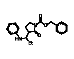 CCC(Nc1ccccc1)C1CCN(C(=O)OCc2ccccc2)C1=O